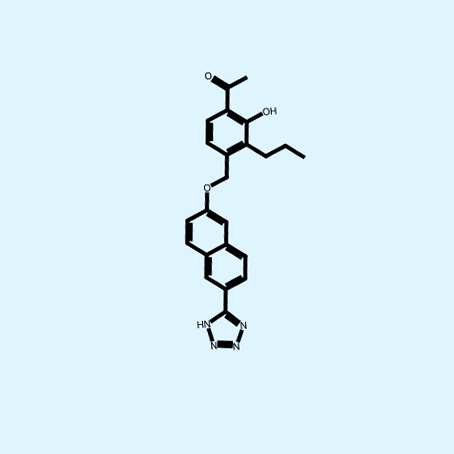 CCCc1c(COc2ccc3cc(-c4nnn[nH]4)ccc3c2)ccc(C(C)=O)c1O